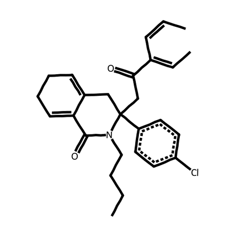 C/C=C\C(=C/C)C(=O)CC1(c2ccc(Cl)cc2)CC2=CCCC=C2C(=O)N1CCCC